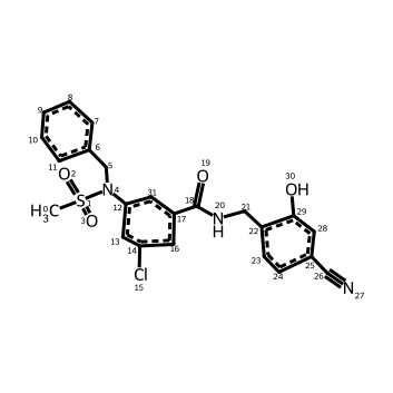 CS(=O)(=O)N(Cc1ccccc1)c1cc(Cl)cc(C(=O)NCc2ccc(C#N)cc2O)c1